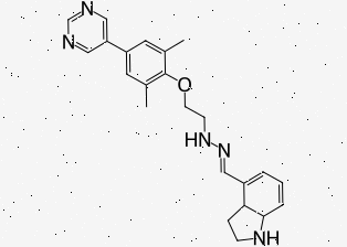 Cc1cc(-c2cncnc2)cc(C)c1OCCN/N=C/C1=CC=CC2NCCC12